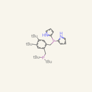 CC(C)(C)c1cc(CP(c2ccc[nH]2)c2ccc[nH]2)c(CP(C(C)(C)C)C(C)(C)C)cc1C(C)(C)C